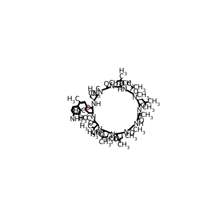 CC[C@@H]1NC(=O)C([C@H](O)[C@H](C)C/C=C(/C)c2ccc(N)cc2)N(C)C(=O)C(C(C)C)N(C)C(=O)[C@H](CC(C)C)N(C)C(=O)[C@H](CC(C)C)N(C)C(=O)[C@H](C)NC(=O)[C@H](C)NC(=O)[C@H](CC(C)C)N(C)C(=O)[C@H](C(C)C)NC(=O)[C@H](CC(C)C)N(C)C(=O)CN(C)C1=O